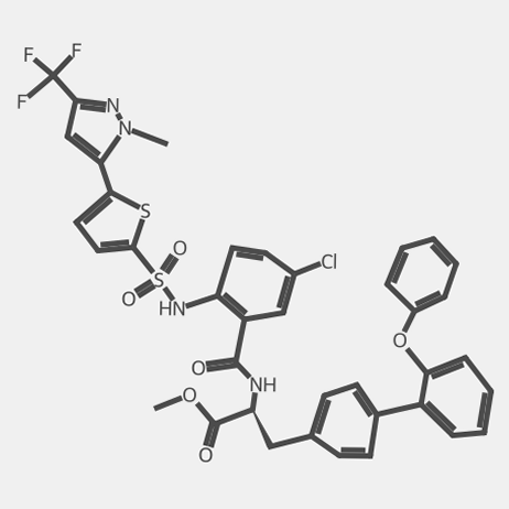 COC(=O)[C@H](Cc1ccc(-c2ccccc2Oc2ccccc2)cc1)NC(=O)c1cc(Cl)ccc1NS(=O)(=O)c1ccc(-c2cc(C(F)(F)F)nn2C)s1